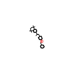 CC(=Cc1ccc(OCc2ccccc2)cc1)c1ccc2c(c1)C(C)(C)CCC2(C)C